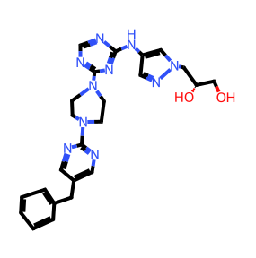 OC[C@H](O)Cn1cc(Nc2ncnc(N3CCN(c4ncc(Cc5ccccc5)cn4)CC3)n2)cn1